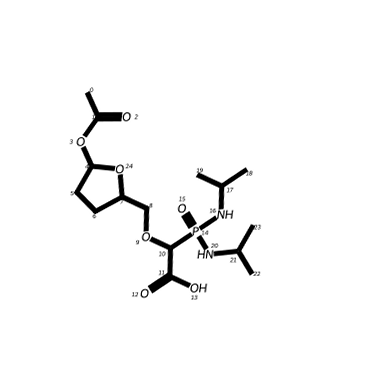 CC(=O)OC1CCC(COC(C(=O)O)P(=O)(NC(C)C)NC(C)C)O1